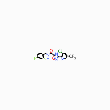 O=C(NCc1ccc(F)cc1F)c1nc(-c2ncc(C(F)(F)F)cc2Cl)no1